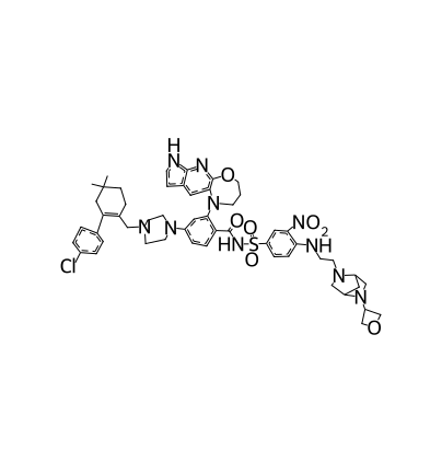 CC1(C)CCC(CN2CCN(c3ccc(C(=O)NS(=O)(=O)c4ccc(NCCN5CC6CC5CN6C5COC5)c([N+](=O)[O-])c4)c(N4CCCOc5nc6[nH]ccc6cc54)c3)CC2)=C(c2ccc(Cl)cc2)C1